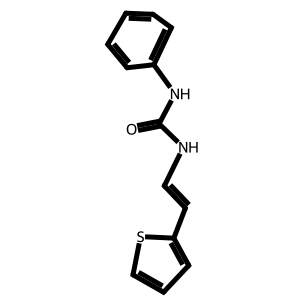 O=C(NC=Cc1cccs1)Nc1ccccc1